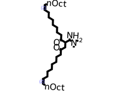 CCCCCCCC/C=C\CCCCCCCC(=O)CC(C(=O)CCCCCCC/C=C\CCCCCCCC)C(N)N(C)C